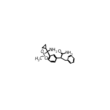 CS(=O)(=O)C(N)(c1cccc(C(Cc2ccccc2)C(N)=O)c1)C1CC1